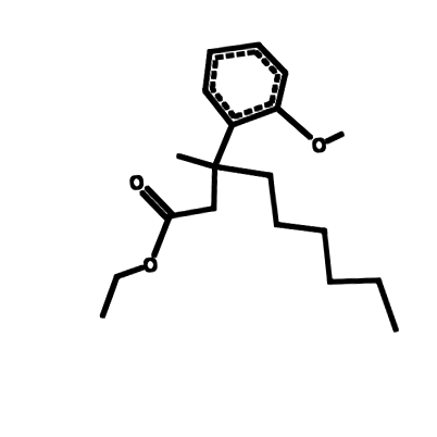 CCCCCCC(C)(CC(=O)OCC)c1ccccc1OC